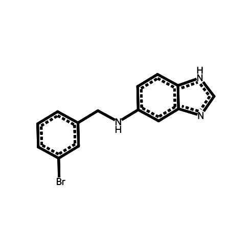 Brc1cccc(CNc2ccc3[nH]cnc3c2)c1